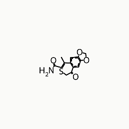 CC1=C(C(N)=O)SCC(=O)c2cc3c(cc21)OCO3